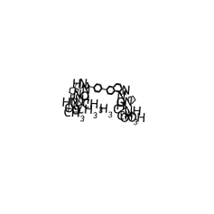 COC(=O)N[C@H](C(=O)N1[C@@H]2CC[C@@H](C2)[C@H]1c1ncc(-c2ccc(-c3ccc4c(ccc5nc([C@@H]6CCCN6C(=O)[C@@H](NC(=O)O)C(C)C)[nH]c54)c3)cc2)[nH]1)C(C)C